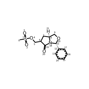 CS(=O)(=O)OCC1C[C@H]2CO[C@H](c3ccccc3)N2C1=O